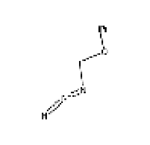 CC(C)OCN=[N+]=[N-]